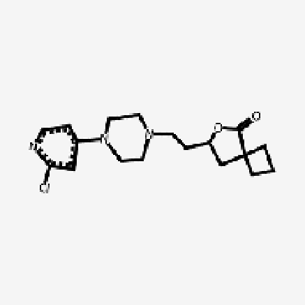 O=C1OC(CCN2CCN(c3ccnc(Cl)c3)CC2)CC12CCC2